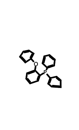 c1ccc(Oc2ccccc2P(c2ccccc2)c2ccccc2)cc1